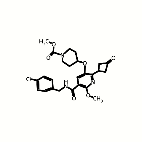 COC(=O)N1CCC(Oc2cc(C(=O)NCc3ccc(Cl)cc3)c(OC)nc2C2CC(=O)C2)CC1